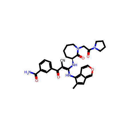 Cc1cc2coccc-2c1NC(N[C@H]1CCCCN(CC(=O)N2CCCC2)C1=O)=C(C#N)C(=O)c1cccc(C(N)=O)c1